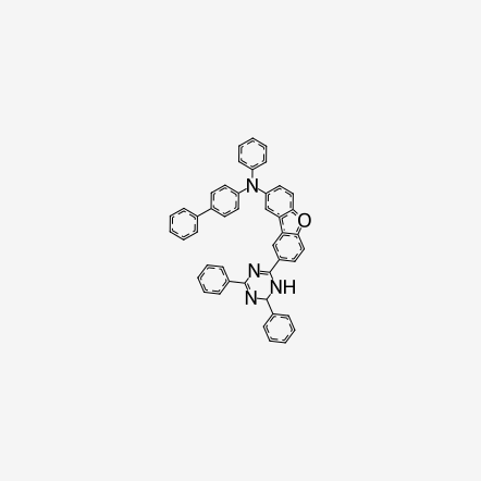 c1ccc(C2=NC(c3ccccc3)NC(c3ccc4oc5ccc(N(c6ccccc6)c6ccc(-c7ccccc7)cc6)cc5c4c3)=N2)cc1